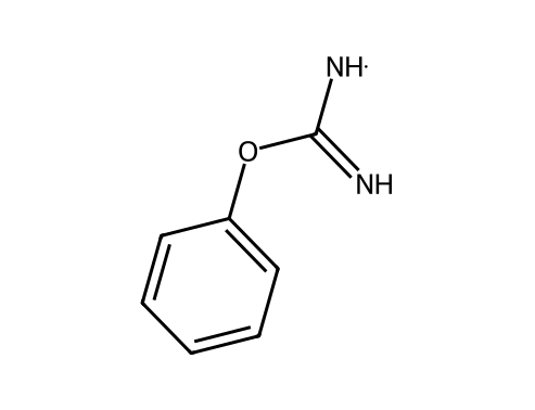 [NH]C(=N)Oc1ccccc1